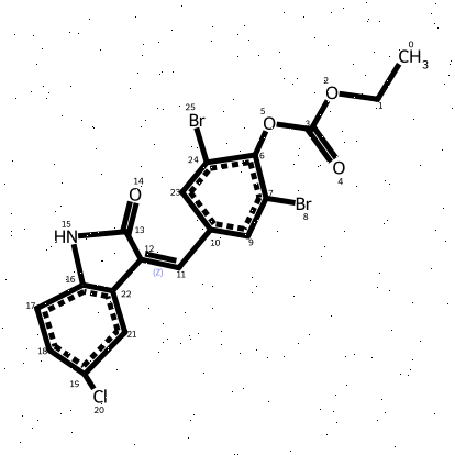 CCOC(=O)Oc1c(Br)cc(/C=C2\C(=O)Nc3ccc(Cl)cc32)cc1Br